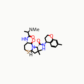 CNC(C)C(=O)N[C@H]1CCS[C@H]2CC(C)(C)[C@@H](C(=O)NC3CCOc4cc(C)ccc43)N2C1=O